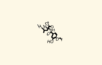 COC(=O)C(N)(CC(C)C)NC(=O)c1ccc(OCI)c(O)c1